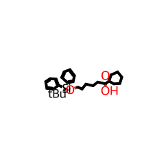 CC(C)(C)[Si](OCCCCCC(O)C12CCCCC1O2)(c1ccccc1)c1ccccc1